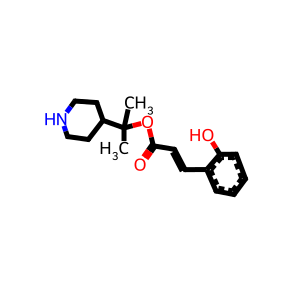 CC(C)(OC(=O)/C=C/c1ccccc1O)C1CCNCC1